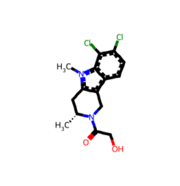 C[C@@H]1Cc2c(c3ccc(Cl)c(Cl)c3n2C)CN1C(=O)CO